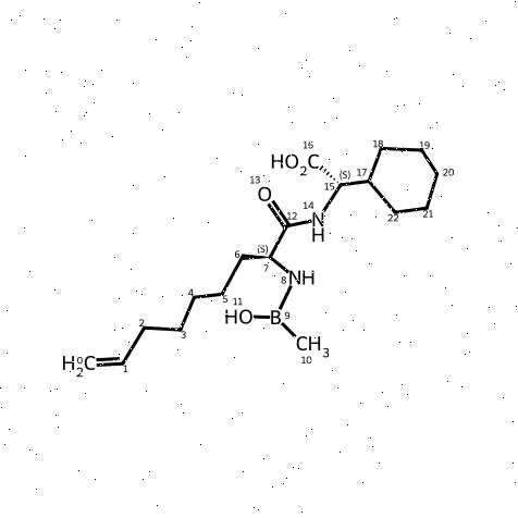 C=CCCCCC[C@H](NB(C)O)C(=O)N[C@H](C(=O)O)C1CCCCC1